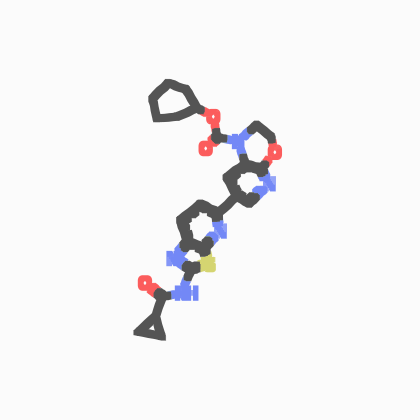 O=C(Nc1nc2ccc(-c3cnc4c(c3)N(C(=O)OC3CCCCC3)CCO4)nc2s1)C1CC1